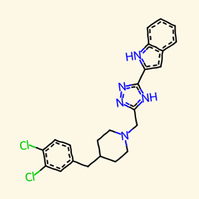 Clc1ccc(CC2CCN(Cc3nnc(-c4cc5ccccc5[nH]4)[nH]3)CC2)cc1Cl